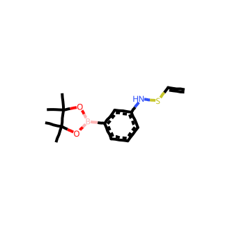 C=CSNc1cccc(B2OC(C)(C)C(C)(C)O2)c1